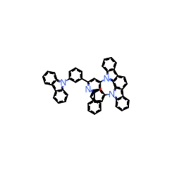 c1ccc(-c2cc(-n3c4ccccc4c4ccc5c6ccccc6n(-c6ccccc6)c5c43)cc(-c3cccc(-n4c5ccccc5c5ccccc54)c3)n2)cc1